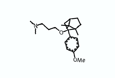 COc1ccc(C2(OCCCN(C)C)CC3CCC2(C)C3(C)C)cc1